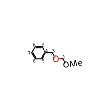 COCO[C]c1ccccc1